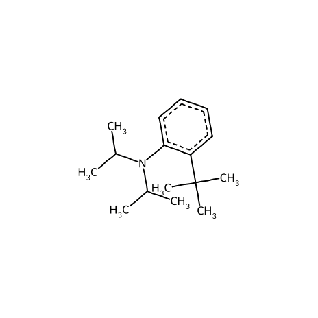 CC(C)N(c1ccccc1C(C)(C)C)C(C)C